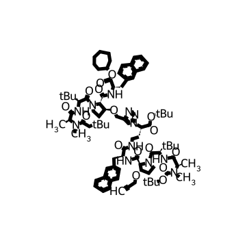 C#CCO[C@H]1CCN(C(=O)[C@@H](NC(=O)[C@H](C)N(C)C(=O)OC(C)(C)C)C(C)(C)C)[C@@H]1C(=O)N[C@@H](Cc1ccc2ccccc2c1)C(=O)NCC[C@@H](C(=O)OC(C)(C)C)n1cc(CO[C@H]2CCN(C(=O)[C@@H](NC(=O)[C@H](C)N(C)C(=O)CC(C)(C)C)C(C)(C)C)[C@@H]2C(=O)N[C@@H](Cc2ccc3ccccc3c2)C(=O)OC2CCCCCC2)nn1